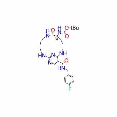 CC(C)(C)OC(=O)N[C@H]1CCCNc2nc(ncc2C(=O)NCc2ccc(F)cc2)NCCCCNC1=O